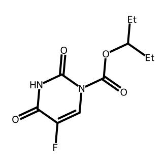 CCC(CC)OC(=O)n1cc(F)c(=O)[nH]c1=O